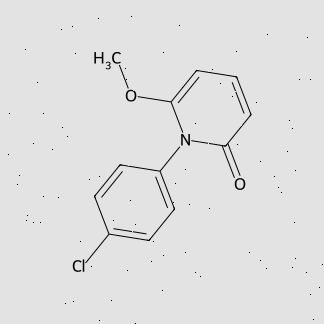 COc1cccc(=O)n1-c1ccc(Cl)cc1